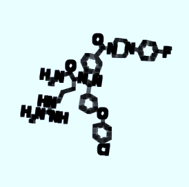 N=C(N)NCCCC(C(N)=O)n1c(-c2cccc(Oc3ccc(Cl)cc3)c2)nc2cc(C(=O)N3CCN(c4ccc(F)cc4)CC3)ccc21